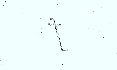 CCC/C=C\CCCCCCCC/C=C/[C@@H](O)[C@H](N)CO